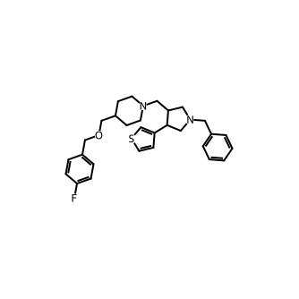 Fc1ccc(COCC2CCN(CC3CN(Cc4ccccc4)CC3c3ccsc3)CC2)cc1